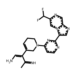 CC(=N)/C(=C\N)C1=CCCN(c2ccnc(-c3cnc4cnc(C(F)F)cn34)n2)C1